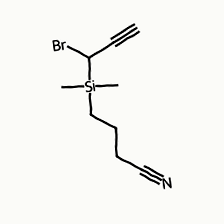 C#CC(Br)[Si](C)(C)CCCC#N